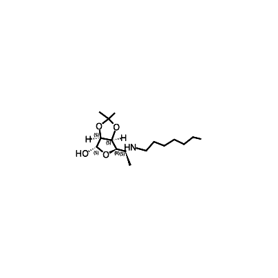 CCCCCCCN[C@@H](C)[C@H]1O[C@H](O)[C@H]2OC(C)(C)O[C@@H]12